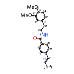 CCC/C=C/c1ccc(C(=O)NCCc2ccc(OC)c(OC)c2)cc1